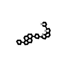 c1ccc(-c2ccc3ccc4c(-c5ccc(-c6ccc7ccc8ccc(-c9cccnc9)nc8c7n6)cc5)ccc5ccc2c3c54)cc1